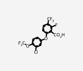 O=C(O)c1c(Oc2ccc(OC(F)(F)F)c(Cl)c2)ccc(C(F)(F)F)c1F